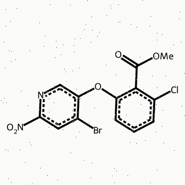 COC(=O)c1c(Cl)cccc1Oc1cnc([N+](=O)[O-])cc1Br